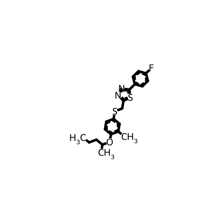 CCCC(C)Oc1ccc(SCc2nnc(-c3ccc(F)cc3)s2)cc1C